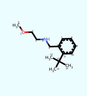 COCCNCc1ccccc1C(C)(C)C